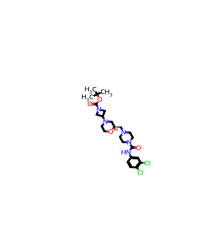 CC(C)(C)OC(=O)N1CC(N2CCO[C@H](CN3CCN(C(=O)Nc4ccc(Cl)c(Cl)c4)CC3)C2)C1